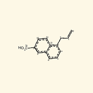 C=CCc1cccc2cc(C(=O)O)ccc12